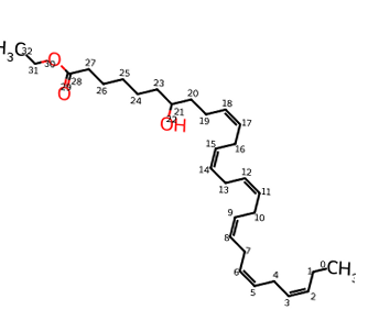 CC/C=C\C/C=C\C/C=C\C/C=C\C/C=C\C/C=C\CCC(O)CCCCCC(=O)OCC